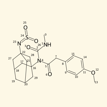 CNC(=O)N(C(=O)Cc1ccc(OC)cc1)C12CC3CC(CC(N=S(=O)=O)(C3)C1)C2